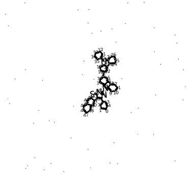 c1ccc(-c2nc(-n3c4ccccc4c4cc(-c5ccc6c(c5)c5ccccc5n6-c5ccccc5)ccc43)nc3sc4cc5ccccc5cc4c23)cc1